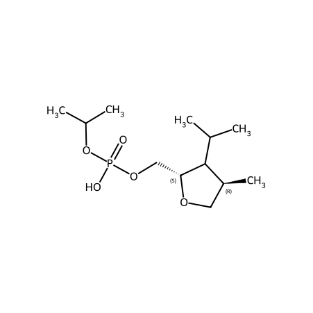 CC(C)OP(=O)(O)OC[C@H]1OC[C@H](C)C1C(C)C